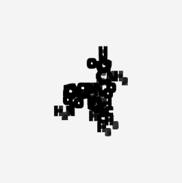 CC1([C@H](OC(N)=O)C(=O)N2C[C@H]3[C@@H]([C@H]2C(=O)N[C@@H](C[C@@H]2CCNC2=O)C(N)=O)C3(C)C)CCCC1